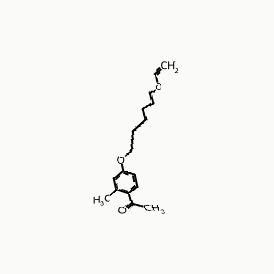 C=COCCCCCCOc1ccc(C(C)=O)c(C)c1